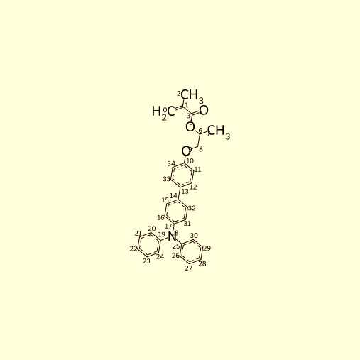 C=C(C)C(=O)OC(C)COc1ccc(-c2ccc(N(c3ccccc3)c3ccccc3)cc2)cc1